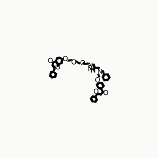 O=c1cc(-c2ccccc2)oc2cc(OCCOCCOCCn3cc(CN(CCOc4ccc5c(=O)cc(-c6ccccc6)oc5c4)Cc4ccccc4)nn3)ccc12